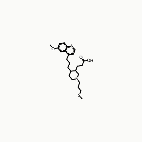 COc1ccc2nccc(CCCC3CCN(CCCSC)CC3CCC(=O)O)c2c1